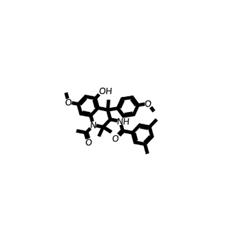 COc1ccc(C2(C)c3c(O)cc(OC)cc3N(C(C)=O)C(C)(C)C2NC(=O)c2cc(C)cc(C)c2)cc1